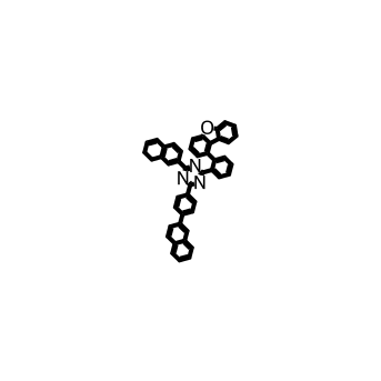 C1=Cc2ccc(-c3nc(-c4ccc(-c5ccc6ccccc6c5)cc4)nc(-c4ccccc4-c4cccc5oc6ccccc6c45)n3)cc2CC1